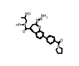 CCCN(CC(C)N=O)C(=O)C1=Cc2ccc(-c3ccc(C(=O)N4CCCC4)cc3)cc2N=C(N=NN)C1